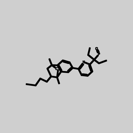 CCCCC1CC2(C)CCC1(C)c1cc(-c3cccc(C(CC)(CC)P=O)n3)ccc12